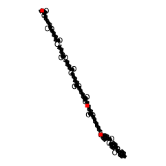 C=C(C)C(=O)OCCCCCC(=O)OCCCCCC(=O)OCCCCCC(=O)OCCCCCC(=O)OCCCCCC(=O)OCCCCCC(=O)OCCCCCC(=O)OCCCCCCCCOc1ccc(C(=O)Oc2ccc(OC(=O)c3ccc(C)cc3)cc2)cc1